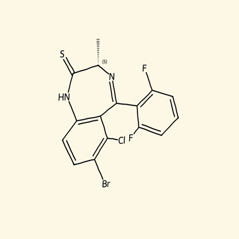 C[C@@H]1N=C(c2c(F)cccc2F)c2c(ccc(Br)c2Cl)NC1=S